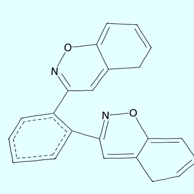 C1=CCC2=CC(c3ccccc3C3=NOC4=CC=CCC4=C3)=NOC2=C1